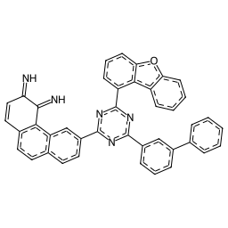 N=C1C=Cc2ccc3ccc(-c4nc(-c5cccc(-c6ccccc6)c5)nc(-c5cccc6oc7ccccc7c56)n4)cc3c2C1=N